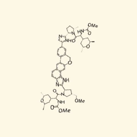 COC[C@H]1CC(c2nc3ccc4cc5c(cc4c3[nH]2)OCc2cc(-c3cnc([C@@H]4CC[C@H](C)N4C(=O)[C@@H](NC(=O)OC)C4C[C@@H](C)O[C@H](C)C4)[nH]3)ccc2-5)N(C(=O)[C@@H](NC(=O)OC)C2C[C@@H](C)O[C@H](C)C2)C1